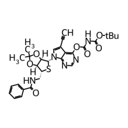 C#Cc1cn([C@@H]2S[C@H](CNC(=O)c3ccccc3)[C@H]3OC(C)(C)O[C@H]32)c2ncnc(OC(=O)NC(=O)OC(C)(C)C)c12